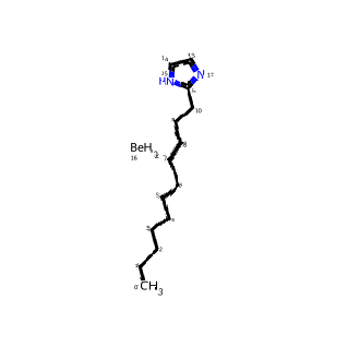 CCCCCCCCCCCc1ncc[nH]1.[BeH2]